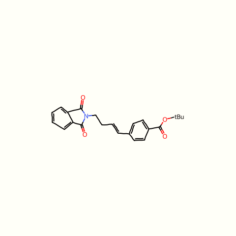 CC(C)(C)OC(=O)c1ccc(C=CCCN2C(=O)c3ccccc3C2=O)cc1